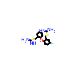 N=C(N)SCc1ccccc1Oc1ccc(F)cc1CSC(=N)N